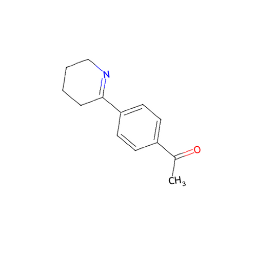 CC(=O)c1ccc(C2=NCCCC2)cc1